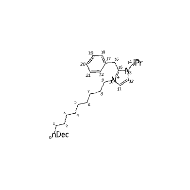 CCCCCCCCCCCCCCCCCCC[n+]1ccn(C(C)C)c1Cc1ccccc1